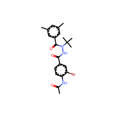 CC(=O)Nc1ccc(C(=O)NN(C(=O)c2cc(C)cc(C)c2)C(C)(C)C)cc1Br